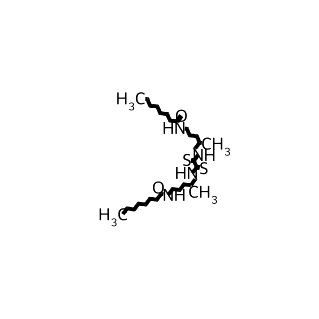 CCCCCCCC(=O)NCCCC(C)CNC(=S)C(=S)NCC(C)CCCNC(=O)CCCCCCC